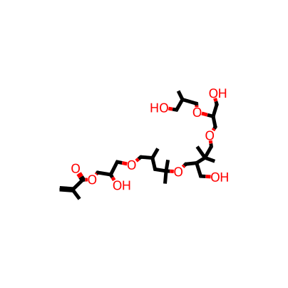 C=C(C)C(=O)OCC(O)COCC(C)CC(C)(C)OCC(CO)C(C)(C)COCC(CO)OCC(C)CO